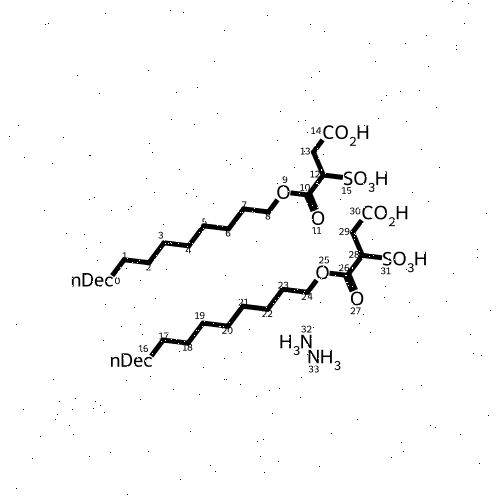 CCCCCCCCCCCCCCCCCCOC(=O)C(CC(=O)O)S(=O)(=O)O.CCCCCCCCCCCCCCCCCCOC(=O)C(CC(=O)O)S(=O)(=O)O.N.N